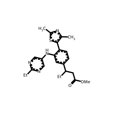 CCc1ncc(Nc2cc(C(CC)CC(=O)OC)ccc2-c2sc(C)nc2C)cn1